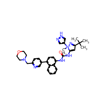 CC(C)(C)C1=N[N+](C)(c2cn[nH]c2)C(NC(=O)Nc2ccc(-c3ccc(CN4CCOCC4)nc3)c3ccccc23)=C1